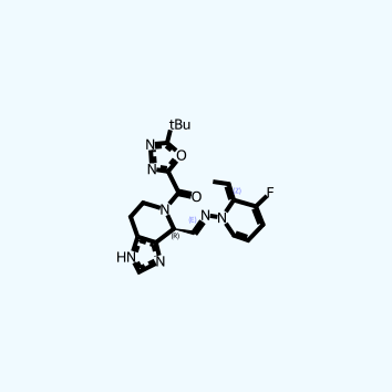 C/C=C1/C(F)=CC=CN1/N=C/[C@H]1c2nc[nH]c2CCN1C(=O)c1nnc(C(C)(C)C)o1